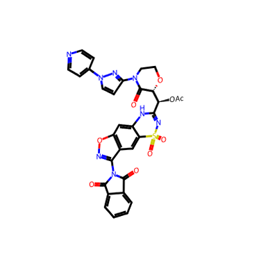 CC(=O)O[C@@H](C1=NS(=O)(=O)c2cc3c(N4C(=O)c5ccccc5C4=O)noc3cc2N1)[C@H]1OCCN(c2ccn(-c3ccncc3)n2)C1=O